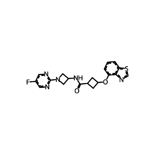 O=C(NC1CN(c2ncc(F)cn2)C1)C1CC(Oc2cccc3scnc23)C1